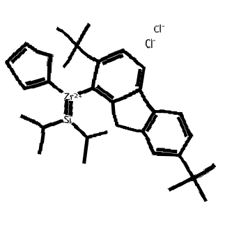 CC(C)[Si](C(C)C)=[Zr+2]([C]1=CC=CC1)[c]1c(C(C)(C)C)ccc2c1Cc1cc(C(C)(C)C)ccc1-2.[Cl-].[Cl-]